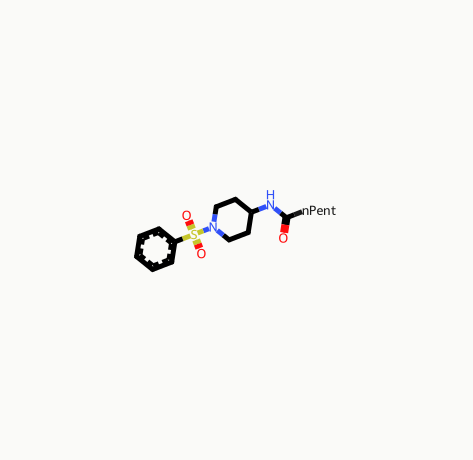 CCCCCC(=O)NC1CCN(S(=O)(=O)c2ccccc2)CC1